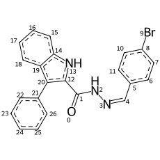 O=C(N/N=C\c1ccc(Br)cc1)c1[nH]c2ccccc2c1-c1ccccc1